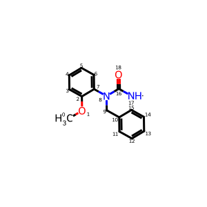 COc1ccccc1N(Cc1ccccc1)C([NH])=O